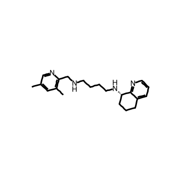 Cc1cnc(CNCCCCN[C@H]2CCCc3cccnc32)c(C)c1